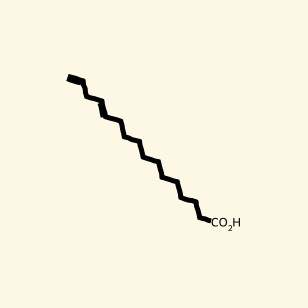 C=CCC=CCCCCCCCCCCC(=O)O